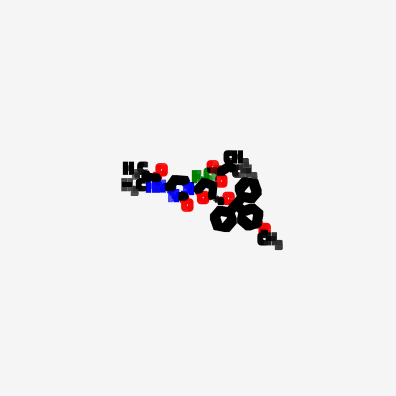 COc1ccc(C(OC[C@@H]2O[C@@H](n3ccc(NC(=O)C(C)C)nc3=O)[C@@](F)(Cl)[C@@H]2OC(=O)C(C)C)(c2ccccc2)c2ccccc2)cc1